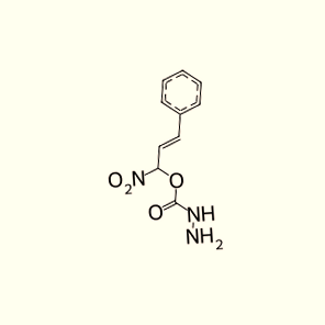 NNC(=O)OC(/C=C/c1ccccc1)[N+](=O)[O-]